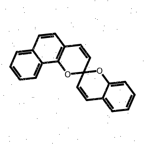 C1=CC2(C=Cc3ccc4ccccc4c3O2)Oc2ccccc21